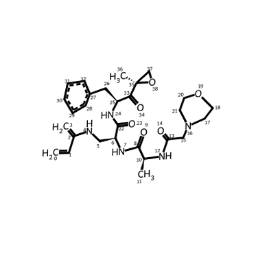 C=CC(=C)NC[C@H](NC(=O)[C@H](C)NC(=O)CN1CCOCC1)C(=O)N[C@@H](Cc1ccccc1)C(=O)[C@@]1(C)CO1